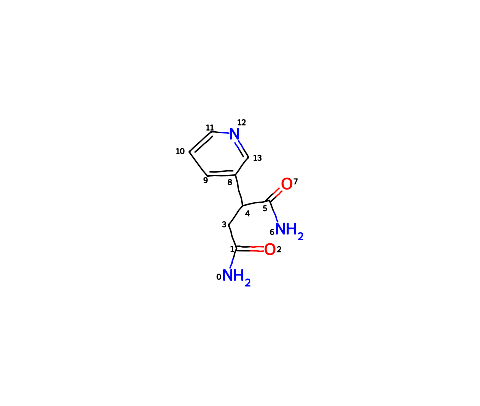 NC(=O)CC(C(N)=O)c1cccnc1